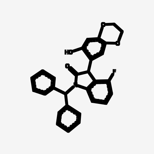 O=C1C(c2cc3c(cc2O)OCCO3)c2c(F)cccc2N1C(c1ccccc1)c1ccccc1